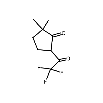 CC1(C)CCC(C(=O)C(F)(F)F)C1=O